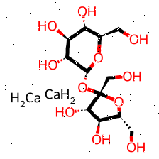 OC[C@H]1O[C@@](CO)(O[C@H]2O[C@H](CO)[C@@H](O)[C@H](O)[C@H]2O)[C@@H](O)[C@@H]1O.[CaH2].[CaH2]